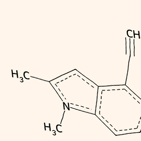 C#Cc1cccc2c1cc(C)n2C